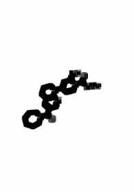 CNC(=O)n1ccc(N2CCCc3cc(C(=O)N4CCCCCC4)cnc32)cc1=N